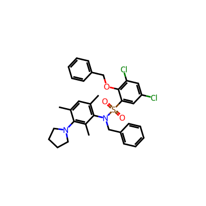 Cc1cc(C)c(N(Cc2ccccc2)S(=O)(=O)c2cc(Cl)cc(Cl)c2OCc2ccccc2)c(C)c1N1CCCC1